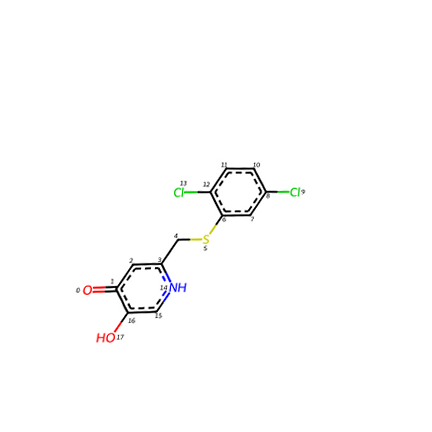 O=c1cc(CSc2cc(Cl)ccc2Cl)[nH]cc1O